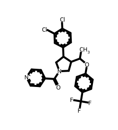 CC(Oc1ccc(C(F)(F)F)cc1)C1CN(C(=O)c2ccncc2)CC1c1ccc(Cl)c(Cl)c1